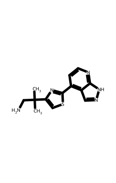 CC(C)(CN)c1csc(-c2ccnc3[nH]ncc23)n1